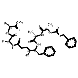 COC(=O)[C@@H](NC(=O)[C@@H](NC(=O)CC[C@H](O)[C@H](Cc1ccccc1)NC(=O)[C@H](C)NC(=O)[C@H](C)NC(=O)OCc1ccccc1)C(C)C)C(C)C